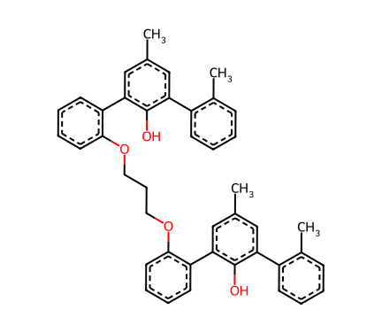 Cc1cc(-c2ccccc2C)c(O)c(-c2ccccc2OCCCOc2ccccc2-c2cc(C)cc(-c3ccccc3C)c2O)c1